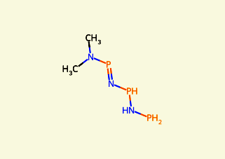 CN(C)P=NPNP